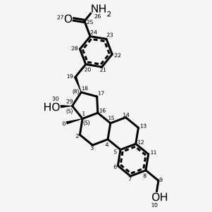 C[C@]12CCC3c4ccc(CO)cc4CCC3C1C[C@H](Cc1cccc(C(N)=O)c1)[C@@H]2O